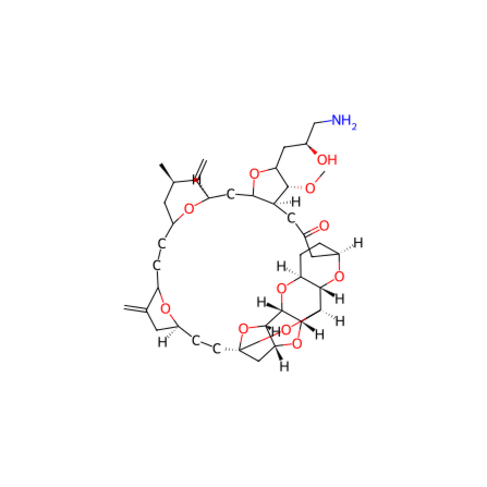 C=C1C[C@@H]2CC[C@@]34C[C@H]5O[C@H]6[C@@H](O3)[C@H]3O[C@H](CC[C@@H]3O[C@H]6[C@H]5O4)CC(=O)C[C@H]3C(C[C@H]4OC(CCC1O2)C[C@@H](C)C4=C)OC(C[C@H](O)CN)[C@@H]3OC